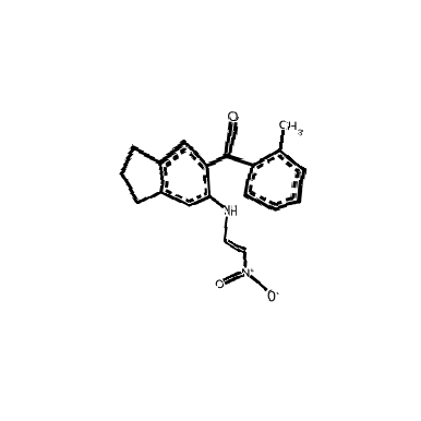 Cc1ccccc1C(=O)c1cc2c(cc1NC=C[N+](=O)[O-])CCC2